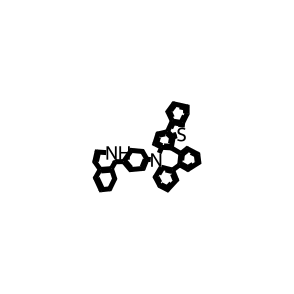 C1=CC2=C(CC1)C(C1=CC=C(N3c4ccccc4-c4ccccc4-c4c3ccc3c4sc4ccccc43)CC1)NC=C2